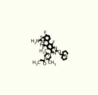 C=CC(=O)N1CC(C)N(c2nc(OCC34CCCN3CCC4)nc3c(F)c(-c4ccc(F)c5sc(N)nc45)c(C(F)(F)F)cc23)CC1C